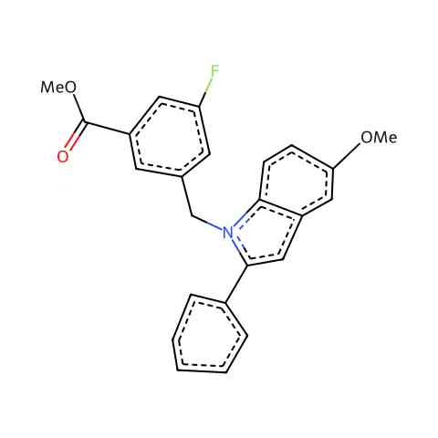 COC(=O)c1cc(F)cc(Cn2c(-c3ccccc3)cc3cc(OC)ccc32)c1